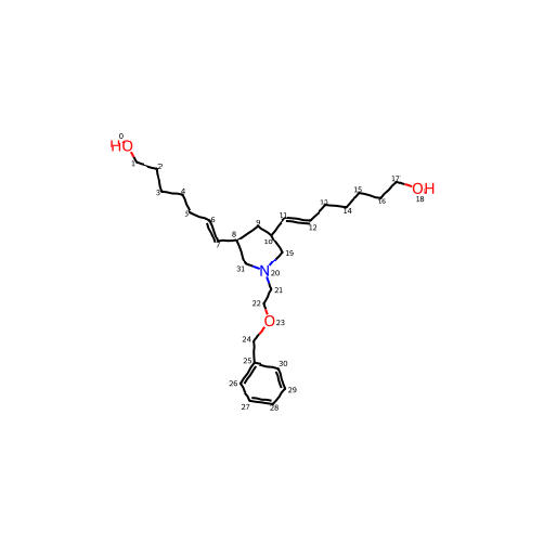 OCCCCCC=CC1CC(C=CCCCCCO)CN(CCOCc2ccccc2)C1